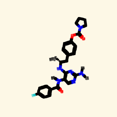 CCN(CC)c1ncc(N(CC)C(=O)c2ccc(F)cc2)c(N[C@@H](Cc2ccc(OC(=O)N3CCCC3)cc2)C(=O)O)n1